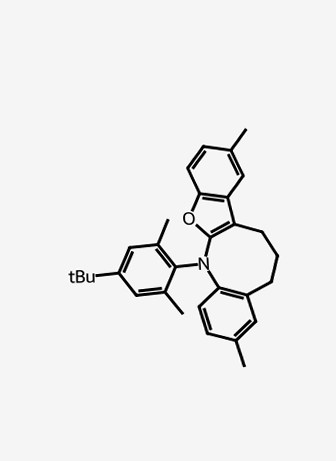 Cc1ccc2c(c1)CCCc1c(oc3ccc(C)cc13)N2c1c(C)cc(C(C)(C)C)cc1C